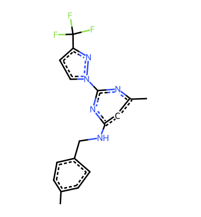 Cc1ccc(CNc2cc(C)nc(-n3ccc(C(F)(F)F)n3)n2)cc1